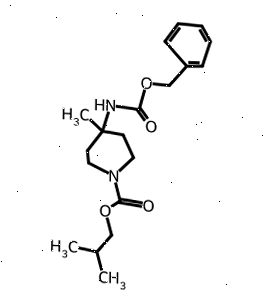 CC(C)COC(=O)N1CCC(C)(NC(=O)OCc2ccccc2)CC1